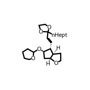 CCCCCCCC1(/C=C/[C@@H]2[C@H]3CCO[C@H]3C[C@H]2OC2CCCCO2)OCCO1